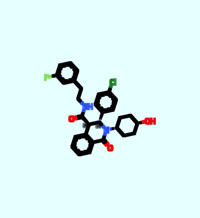 O=C(NCCc1cccc(F)c1)[C@@H]1c2ccccc2C(=O)N([C@H]2CC[C@H](O)CC2)[C@H]1c1ccc(Cl)cc1